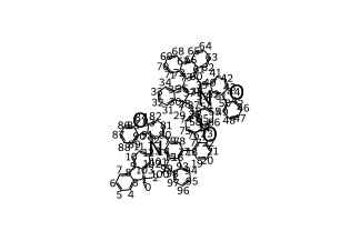 CC1(C)c2ccccc2-c2ccc(-n3c4c5c(c(-c6cccc7oc8cc(CC9(C)c%10ccccc%10-c%10c9c9c(c%11ccc%12oc%13ccccc%13c%12c%11n9-c9ccccc9)c9c%11ccccc%11c%11ccccc%11c%109)ccc8c67)cc4c4ccc6oc7ccccc7c6c43)-c3ccccc3C5(C)C)cc21